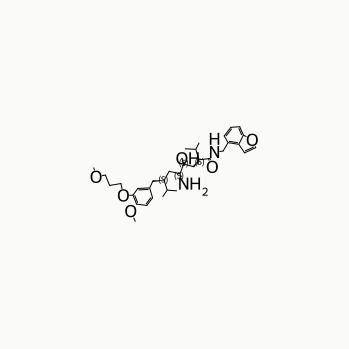 COCCCOc1cc(C[C@@H](C[C@H](N)[C@@H](O)C[C@H](C(=O)NCc2cccc3occc23)C(C)C)C(C)C)ccc1OC